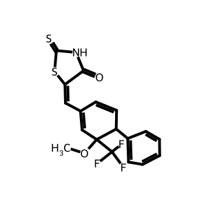 COC1(C(F)(F)F)C=C(/C=C2/SC(=S)NC2=O)C=CC1c1ccccc1